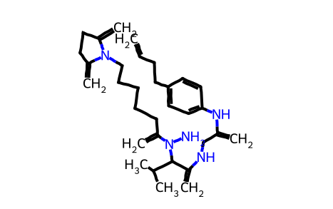 C=CCCc1ccc(NC(=C)CNC(=C)C(C(C)C)N(N)C(=C)CCCCCN2C(=C)CCC2=C)cc1